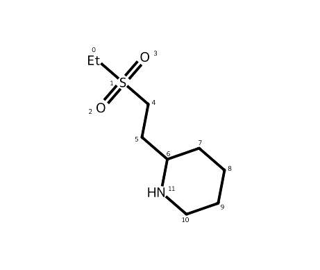 CCS(=O)(=O)CCC1CCCCN1